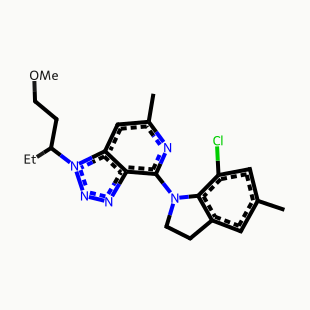 CCC(CCOC)n1nnc2c(N3CCc4cc(C)cc(Cl)c43)nc(C)cc21